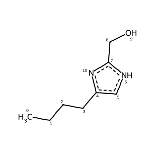 CCCCc1c[nH]c(CO)n1